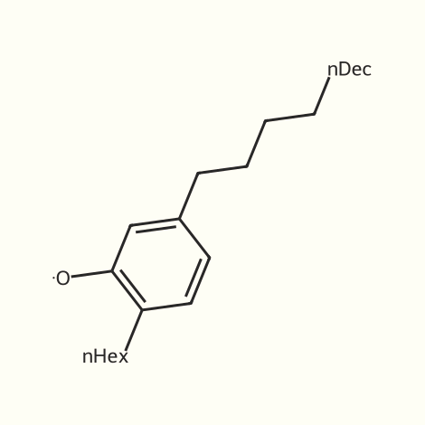 CCCCCCCCCCCCCCc1ccc(CCCCCC)c([O])c1